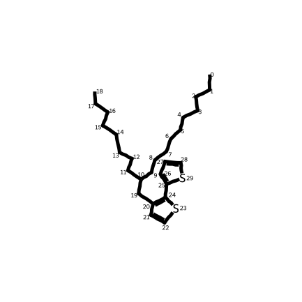 CCCCCCCCCCC(CCCCCCCC)Cc1ccsc1-c1cccs1